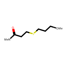 CNC(=O)CCSCCCOC